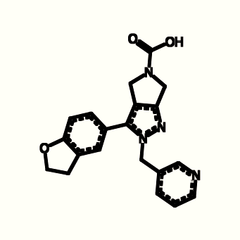 O=C(O)N1Cc2nn(Cc3cccnc3)c(-c3ccc4c(c3)CCO4)c2C1